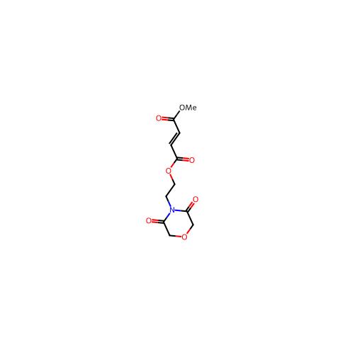 COC(=O)/C=C/C(=O)OCCN1C(=O)COCC1=O